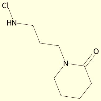 O=C1CCCCN1CCCNCl